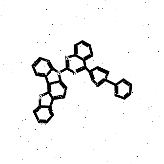 c1ccc(-c2ccc(-c3nc(-n4c5ccccc5c5c6sc7ccccc7c6ccc54)nc4ccccc34)cc2)cc1